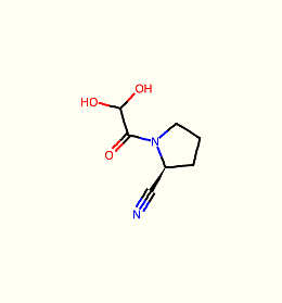 N#C[C@@H]1CCCN1C(=O)C(O)O